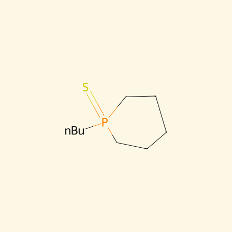 CCCCP1(=S)CCCCC1